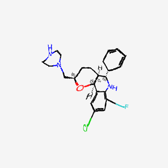 Fc1cc(Cl)cc2c1N[C@@H](C1C=CC=CC1)[C@@H]1CC[C@H](CN3CCNCC3)O[C@H]21